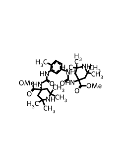 COC(=O)C1(NC(=O)Nc2ccc(C)c(NC(=O)NC3(C(=O)OC)CC(C)(C)NC(C)(C)C3)c2)CC(C)(C)NC(C)(C)C1